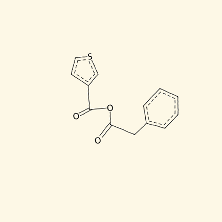 O=C(Cc1ccccc1)OC(=O)c1ccsc1